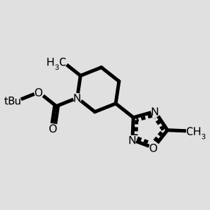 Cc1nc(C2CCC(C)N(C(=O)OC(C)(C)C)C2)no1